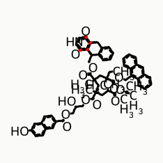 CCC(C)(CC(C)(CC(C)(CC(C)C(=O)OC(C)(C)C)C(=O)OCC(O)COC(=O)c1ccc2cc(O)ccc2c1)C(=O)OCC12c3ccccc3C(c3ccccc31)C1C(=O)NC(=O)C12)C(=O)OCc1c2ccccc2cc2ccccc12